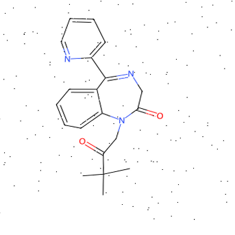 CC(C)(C)C(=O)CN1C(=O)CN=C(c2ccccn2)c2ccccc21